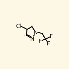 FC(F)(F)CN1[CH]C(Cl)[C]=N1